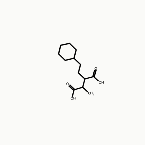 CC(C(=O)O)C(CC[C]1CCCCC1)C(=O)O